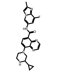 Cc1cn2cc(NC(=O)c3ccc(N4CCNC(C5CC5)C4)c4nccnc34)cc(F)c2n1